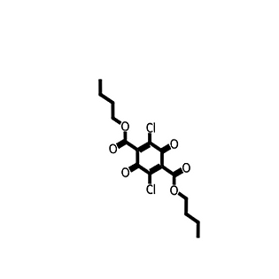 CCCCOC(=O)C1=C(Cl)C(=O)C(C(=O)OCCCC)=C(Cl)C1=O